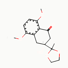 COc1ccc(OC)c2c1C[C@](O)(C1(C)OCCO1)CC2=O